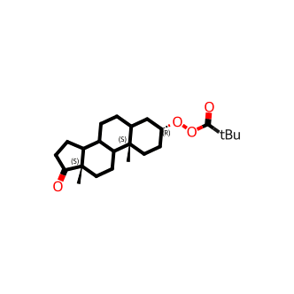 CC(C)(C)C(=O)OO[C@@H]1CC[C@@]2(C)C(CCC3C2CC[C@]2(C)C(=O)CCC32)C1